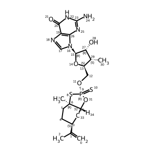 C=C(C)[C@H]1CC[C@@]2(C)S[P@](=S)(OC[C@H]3O[C@@H](n4cnc5c(=O)[nH]c(N)nc54)[C@H](O)[C@@H]3C)O[C@@H]2C1